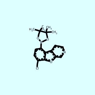 CC1(C)OB(c2ccc(Cl)c3oc4cnccc4c23)OC1(C)C